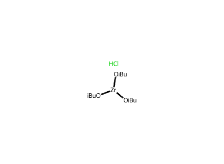 CC(C)C[O][Zr]([O]CC(C)C)[O]CC(C)C.Cl